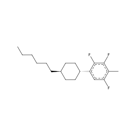 CCCCCC[C@H]1CC[C@H](c2cc(F)c(C)c(F)c2F)CC1